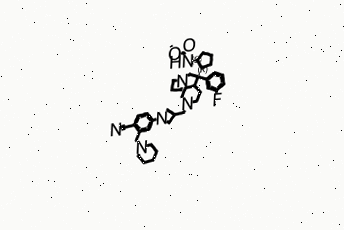 COC(=O)N[C@H]1CCC[C@@H]1C(CN1CCC1)(c1cccc(F)c1)C1CCN(CC2CN(c3ccc(C#N)c(CN4CCCCC4)c3)C2)CC1